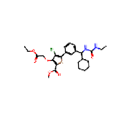 CCNC(=O)NC(c1cccc(-c2sc(C(=O)OC)c(OCC(=O)OCC)c2Br)c1)C1CCCCC1